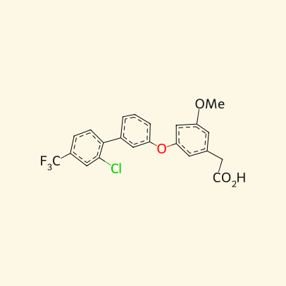 COc1cc(CC(=O)O)cc(Oc2cccc(-c3ccc(C(F)(F)F)cc3Cl)c2)c1